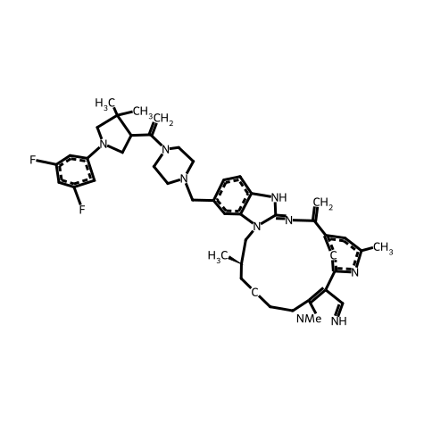 C=C1/N=C2\Nc3ccc(CN4CCN(C(=C)C5CN(c6cc(F)cc(F)c6)CC5(C)C)CC4)cc3N2C[C@H](C)CCCC/C(NC)=C(/C=N)c2cc1cc(C)n2